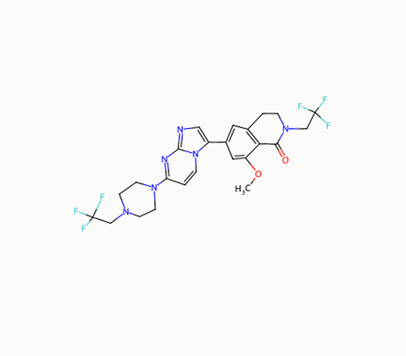 COc1cc(-c2cnc3nc(N4CCN(CC(F)(F)F)CC4)ccn23)cc2c1C(=O)N(CC(F)(F)F)CC2